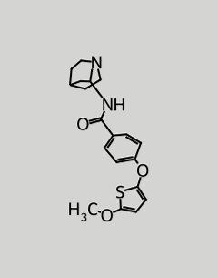 COc1ccc(Oc2ccc(C(=O)NC3CC4CCN(CC4)C3)cc2)s1